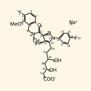 COc1c(F)cccc1CN(C)C(=O)c1nn(-c2ccc(F)cc2)c(CCC(O)CC(O)CC(=O)[O-])c1C(C)C.[Na+]